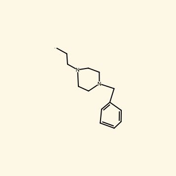 [CH2]CCN1CCN(Cc2ccccc2)CC1